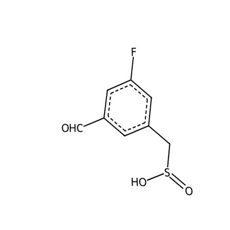 O=Cc1cc(F)cc(CS(=O)O)c1